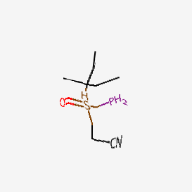 CC(C)(C)[SH](=O)(P)CC#N